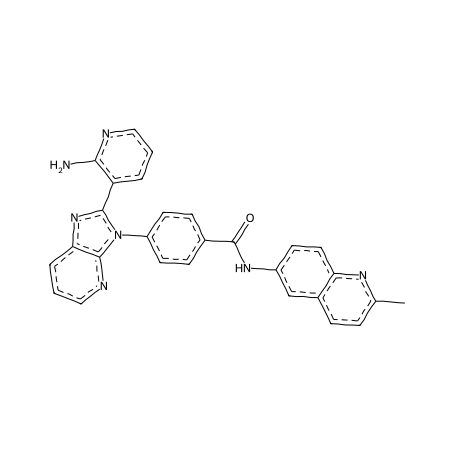 Cc1ccc2cc(NC(=O)c3ccc(-n4c(-c5cccnc5N)nc5cccnc54)cc3)ccc2n1